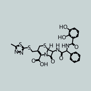 Cc1nnc(SCC2=C(C(=O)O)N3C(=O)C(NC(=O)C(NC(=O)c4cccc(O)c4O)c4ccccc4)[C@H]3SC2)s1